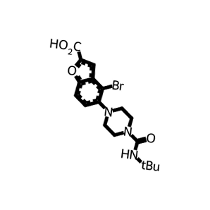 CC(C)(C)NC(=O)N1CCN(c2ccc3oc(C(=O)O)cc3c2Br)CC1